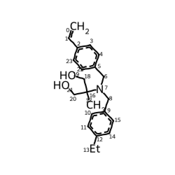 C=Cc1ccc(CN(Cc2ccc(CC)cc2)C(C)(CO)CO)cc1